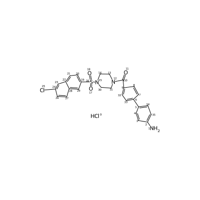 Cl.Nc1ccc(-c2ccc(C(=O)N3CCN(S(=O)(=O)c4ccc5cc(Cl)ccc5c4)CC3)cc2)cc1